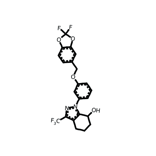 OC1CCCc2c(C(F)(F)F)nn(-c3cccc(OCc4ccc5c(c4)OC(F)(F)O5)c3)c21